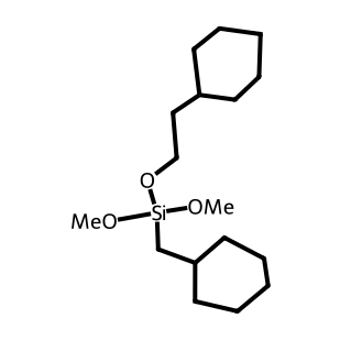 CO[Si](CC1CCCCC1)(OC)OCCC1CCCCC1